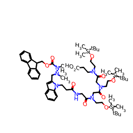 CN(Cc1cc2ccccc2n1CCC(=O)NCC(=O)N(CCO[Si](C)(C)C(C)(C)C)CC(=O)N(CCO[Si](C)(C)C(C)(C)C)CC(=O)N(CCO[Si](C)(C)C(C)(C)C)CCC(=O)O)N(C)C(=O)OCC1c2ccccc2-c2ccccc21